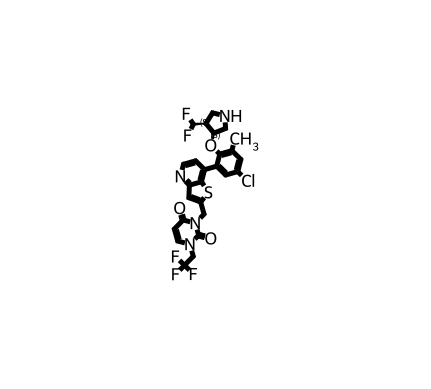 Cc1cc(Cl)cc(-c2ccnc3cc(Cn4c(=O)ccn(CC(F)(F)F)c4=O)sc23)c1O[C@@H]1CNC[C@@H]1C(F)F